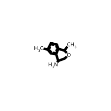 Cc1ccc2c(c1)C(N)COC2C